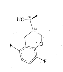 C[C@H](O)[C@@H]1COc2c(F)ccc(F)c2C1